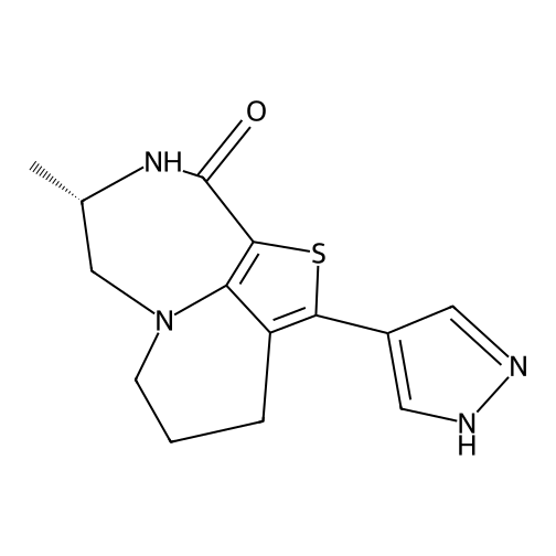 C[C@H]1CN2CCCc3c(-c4cn[nH]c4)sc(c32)C(=O)N1